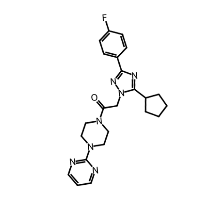 O=C(Cn1nc(-c2ccc(F)cc2)nc1C1CCCC1)N1CCN(c2ncccn2)CC1